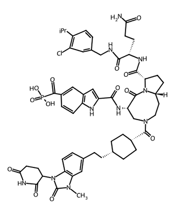 CC(C)c1ccc(CNC(=O)[C@H](CCC(N)=O)NC(=O)[C@@H]2CC[C@@H]3CCN(C(=O)[C@H]4CC[C@@H](CCc5ccc6c(c5)n(C)c(=O)n6C5CCC(=O)NC5=O)CC4)C[C@H](NC(=O)c4cc5cc(C(=O)P(=O)(O)O)ccc5[nH]4)C(=O)N32)cc1Cl